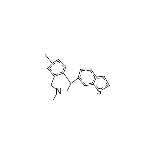 Cc1ccc2c(c1)CN(C)CC2c1ccc2ccsc2c1